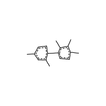 Cc1ccc(-c2ccc(C)c(C)c2C)c(C)c1